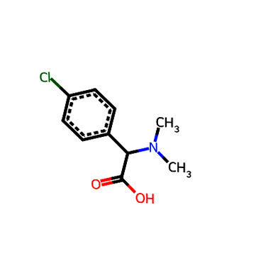 CN(C)C(C(=O)O)c1ccc(Cl)cc1